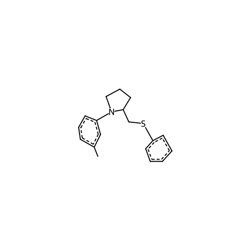 Cc1cccc(N2CCCC2CSc2ccccc2)c1